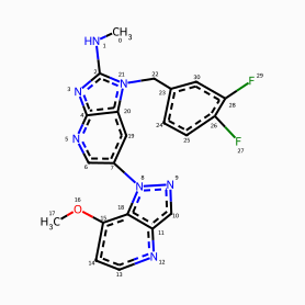 CNc1nc2ncc(-n3ncc4nccc(OC)c43)cc2n1Cc1ccc(F)c(F)c1